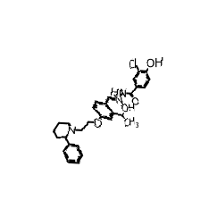 CC(O)c1cc(OCCN2CCCCC2c2ccccc2)ccc1/C=N/NC(=O)c1ccc(O)c(Cl)c1